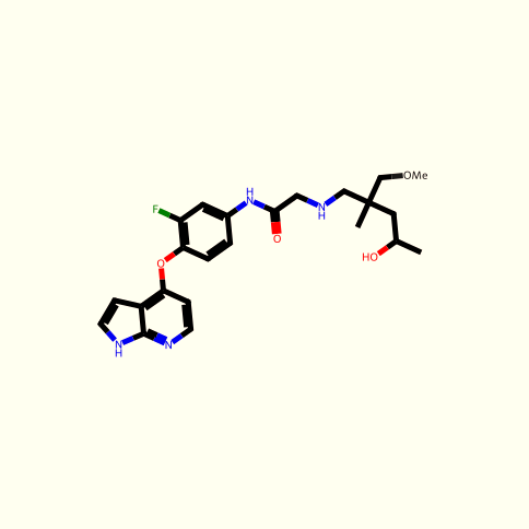 COCC(C)(CNCC(=O)Nc1ccc(Oc2ccnc3[nH]ccc23)c(F)c1)CC(C)O